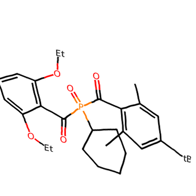 CCOc1cccc(OCC)c1C(=O)P(=O)(C(=O)c1c(C)cc(C(C)(C)C)cc1C)C1CCCCC1